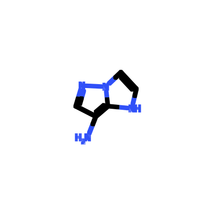 Nc1cnn2cc[nH]c12